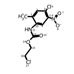 Cc1cc(Cl)c([N+](=O)[O-])cc1NC(=O)OCCCl